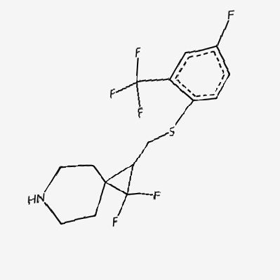 Fc1ccc(SCC2C(F)(F)C23CCNCC3)c(C(F)(F)F)c1